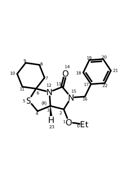 CCOC1[C@@H]2CSC3(CCCCC3)N2C(=O)N1Cc1ccccc1